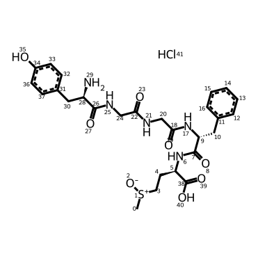 C[S+]([O-])CC[C@@H](NC(=O)[C@@H](Cc1ccccc1)NC(=O)CNC(=O)CNC(=O)[C@H](N)Cc1ccc(O)cc1)C(=O)O.Cl